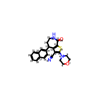 N#Cc1c(N2CCOCC2)sc2c1C(c1ccc3ccccc3c1)CCNC2=O